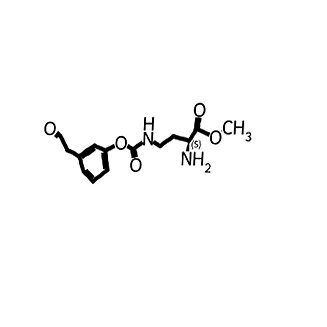 COC(=O)[C@@H](N)CCNC(=O)Oc1cccc(CC=O)c1